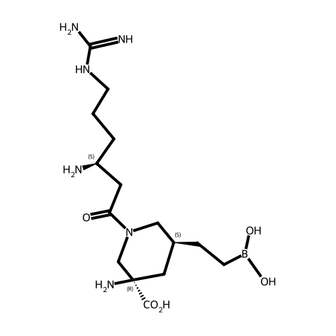 N=C(N)NCCC[C@H](N)CC(=O)N1C[C@@H](CCB(O)O)C[C@](N)(C(=O)O)C1